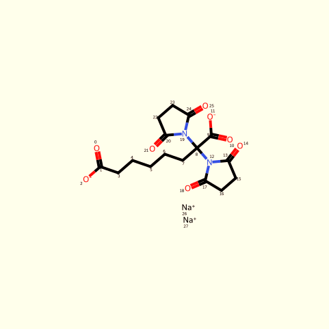 O=C([O-])CCCCCC(C(=O)[O-])(N1C(=O)CCC1=O)N1C(=O)CCC1=O.[Na+].[Na+]